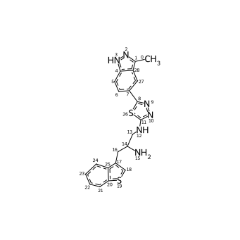 Cc1n[nH]c2ccc(-c3nnc(NCC(N)Cc4csc5ccccc45)s3)cc12